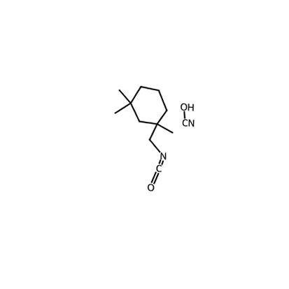 CC1(C)CCCC(C)(CN=C=O)C1.N#CO